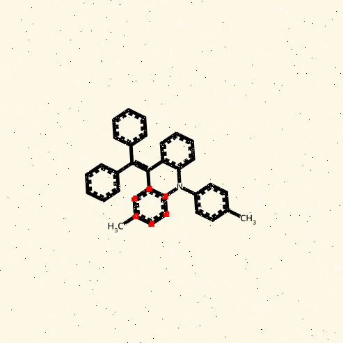 Cc1ccc(N(c2ccc(C)cc2)c2ccccc2C(=C(c2ccccc2)c2ccccc2)c2ccccc2)cc1